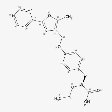 CCO[C@@H](Cc1ccc(OCc2nc(-c3ccncc3)oc2C)cc1)C(=O)O